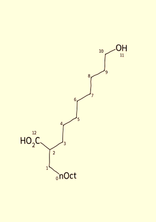 CCCCCCCCCC(CCCCCCCCO)C(=O)O